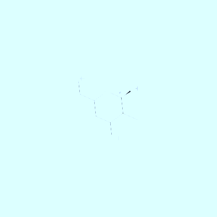 CC1C(O)[C@H](C)C(CO)O[C@H]1O